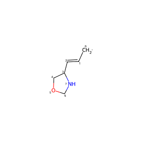 [CH2]C=CC1COCN1